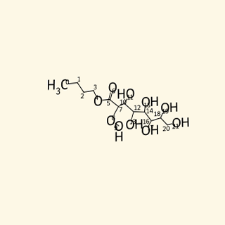 CCCCOC(=O)C(OO)C(O)C(O)C(O)C(O)C(O)CO